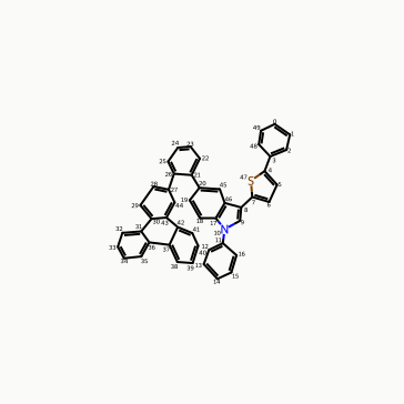 c1ccc(-c2ccc(-c3cn(-c4ccccc4)c4ccc(-c5ccccc5-c5ccc6c7ccccc7c7ccccc7c6c5)cc34)s2)cc1